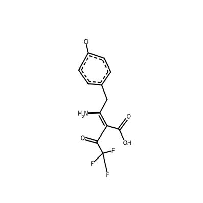 NC(Cc1ccc(Cl)cc1)=C(C(=O)O)C(=O)C(F)(F)F